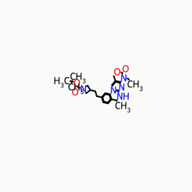 CCN1C(=O)OCc2cnc(NC(C)c3ccc(CCC4CN(C(=O)OC(C)(C)C)C4)cc3)nc21